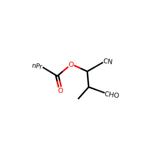 CCCC(=O)OC(C#N)C(C)C=O